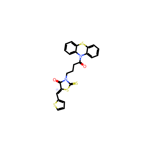 O=C1/C(=C/c2cccs2)SC(=S)N1CCCC(=O)N1c2ccccc2Sc2ccccc21